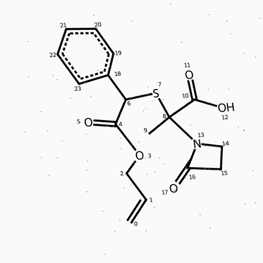 C=CCOC(=O)C(SC(C)(C(=O)O)N1CCC1=O)c1ccccc1